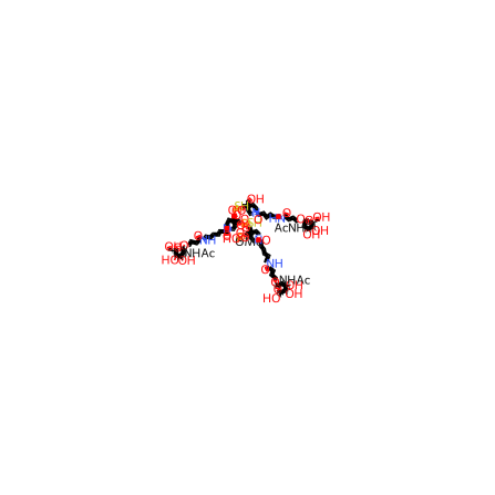 COP(=O)(O)OCC1(COP(=O)(S)OCC2(COP(=O)(S)OCC3(CO)CCN(C(=O)CCCCCNC(=O)CCCO[C@@H]4O[C@H](CO)[C@H](O)[C@H](O)[C@H]4NC(C)=O)CC3)CCN(C(=O)CCCCCNC(=O)CCCO[C@@H]3O[C@H](CO)[C@H](O)[C@H](O)[C@H]3NC(C)=O)CC2)CCN(C(=O)CCCCCNC(=O)CCCO[C@@H]2O[C@H](CO)[C@H](O)[C@H](O)[C@H]2NC(C)=O)CC1